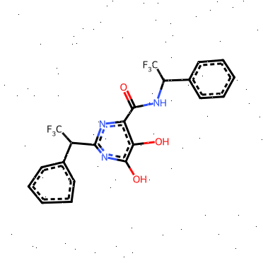 O=C(NC(c1ccccc1)C(F)(F)F)c1nc(C(c2ccccc2)C(F)(F)F)nc(O)c1O